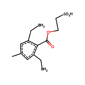 BCc1cc(C)cc(CB)c1C(=O)OCCS(=O)(=O)O